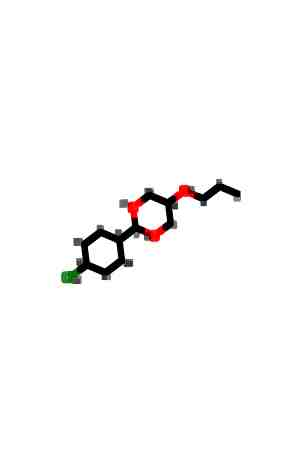 CCCOC1COC(C2CCC(Cl)CC2)OC1